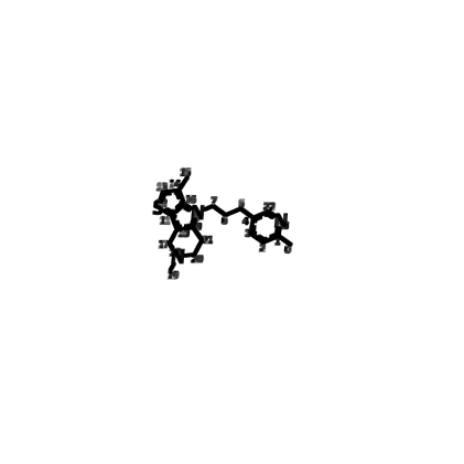 Cc1ccc(CCCn2c3c(c4scc(C)c42)CN(C)CC3)cn1